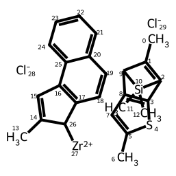 CC1=C2c3sc(C)cc3C1[Si]2(C)C.CC1=Cc2c(ccc3ccccc23)[CH]1[Zr+2].[Cl-].[Cl-]